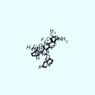 Cc1nc(N)c(F)c(-c2nc3c4c(nc(OC[C@@]56CCCN5C[C@H](F)C6)nc4c2F)N2C[C@H]4CC[C@H](N4)[C@H]2[C@H](C)O3)c1C(F)(F)F